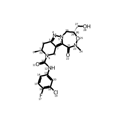 C[C@H]1Cc2nn3c(c2CN1C(=O)Nc1ccc(F)c(Cl)c1)C(=O)N(C)O[C@@H](CO)C3